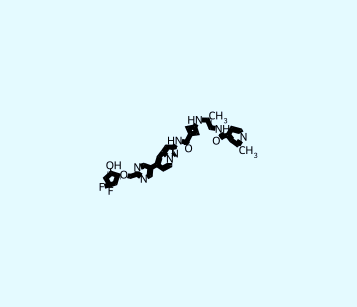 Cc1cc(C(=O)NC[C@H](C)NC2CC(C(=O)Nc3cc4cc(-c5cnc(CO[C@H]6CC(F)(F)C[C@@H]6O)nc5)ccn4n3)C2)ccn1